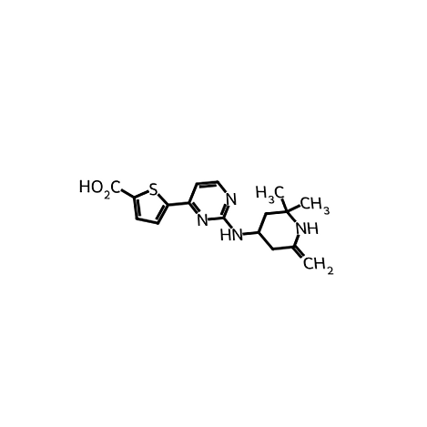 C=C1CC(Nc2nccc(-c3ccc(C(=O)O)s3)n2)CC(C)(C)N1